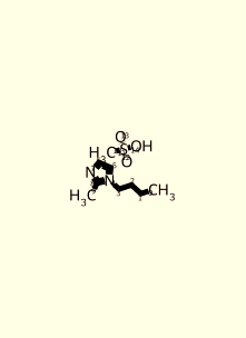 CCCCn1ccnc1C.CS(=O)(=O)O